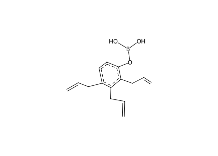 C=CCc1ccc(OB(O)O)c(CC=C)c1CC=C